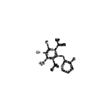 Nc1c(Cl)c(Cl)c(C(=O)O)c(Cc2ccccc2Cl)c1[N+](=O)[O-]